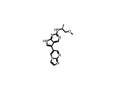 COC[C@H](C)Nc1ncc2c(-c3cnc4nccn4c3)c[nH]c2n1